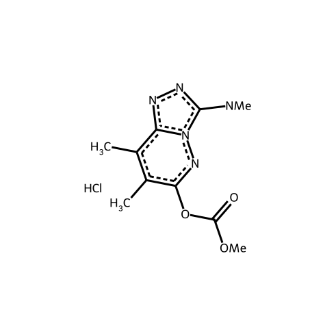 CNc1nnc2c(C)c(C)c(OC(=O)OC)nn12.Cl